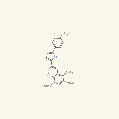 CNc1cc(NC)c2c(c1NC)C=C(c1ccc(-c3ccc(C(=O)O)cc3)[nH]1)CO2